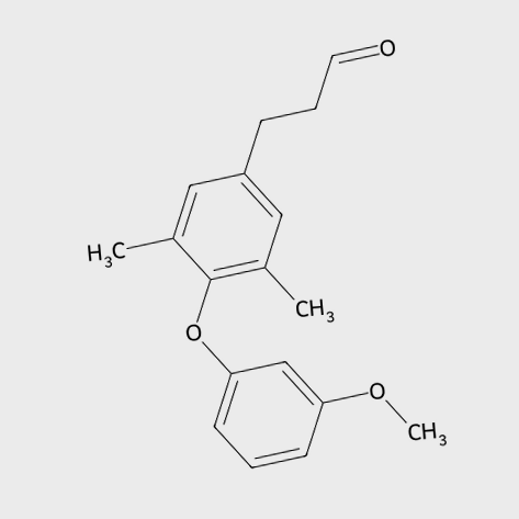 COc1cccc(Oc2c(C)cc(CCC=O)cc2C)c1